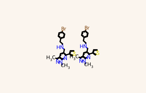 Cc1nn(C)c2nc(-c3ccsc3)c(CNCCc3ccc(Br)cc3)cc12.Cc1nn(C)c2nc(-c3ccsc3)c(CNCCc3ccc(Br)cc3)cc12